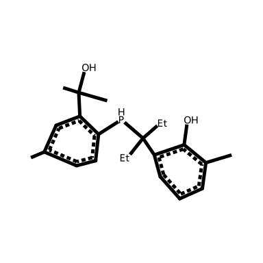 CCC(CC)(Pc1ccc(C)cc1C(C)(C)O)c1cccc(C)c1O